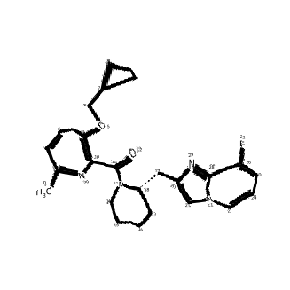 Cc1ccc(OCC2CC2)c(C(=O)N2CCCC[C@H]2Cc2cn3cccc(F)c3n2)n1